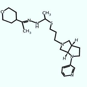 C/C(=N\NC(C)SCCCN1C[C@@H]2CCN(c3cccnc3)[C@@H]2C1)C1CCOCC1